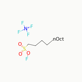 CCCCCCCCCCCCS(=O)(=O)OF.F[N+](F)(F)F